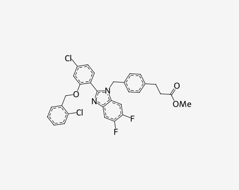 COC(=O)CCc1ccc(Cn2c(-c3ccc(Cl)cc3OCc3ccccc3Cl)nc3cc(F)c(F)cc32)cc1